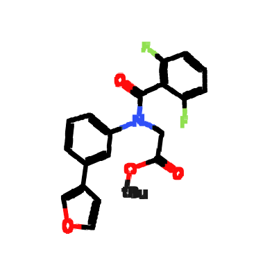 CC(C)(C)OC(=O)CN(C(=O)c1c(F)cccc1F)c1cccc(-c2ccoc2)c1